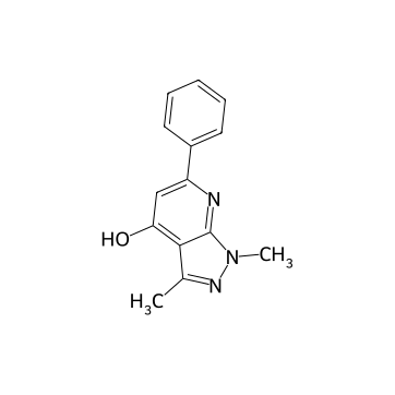 Cc1nn(C)c2nc(-c3ccccc3)cc(O)c12